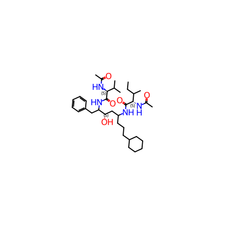 CCC(C)[C@H](NC(C)=O)C(=O)NC(CCCC1CCCCC1)C[C@H](O)C(Cc1ccccc1)NC(=O)[C@@H](NC(C)=O)C(C)C